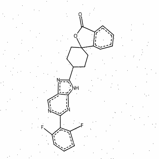 O=C1OC2(CCC(c3nc4cnc(-c5c(F)cccc5F)nc4[nH]3)CC2)c2ccccc21